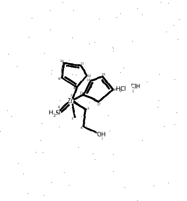 Cl.Cl.[CH3][Zr](=[SiH2])([CH2]CO)([C]1=CC=CC1)[C]1=CC=CC1